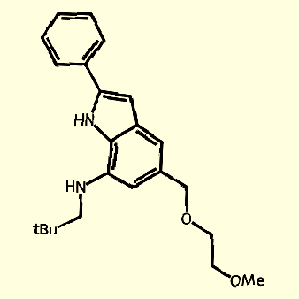 COCCOCc1cc(NCC(C)(C)C)c2[nH]c(-c3ccccc3)cc2c1